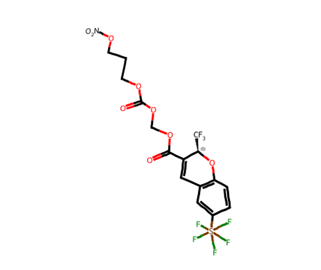 O=C(OCCCO[N+](=O)[O-])OCOC(=O)C1=Cc2cc(S(F)(F)(F)(F)F)ccc2O[C@@H]1C(F)(F)F